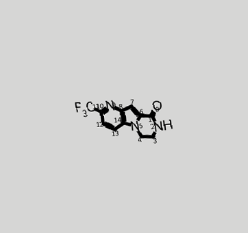 O=C1NCCn2c1cc1nc(C(F)(F)F)ccc12